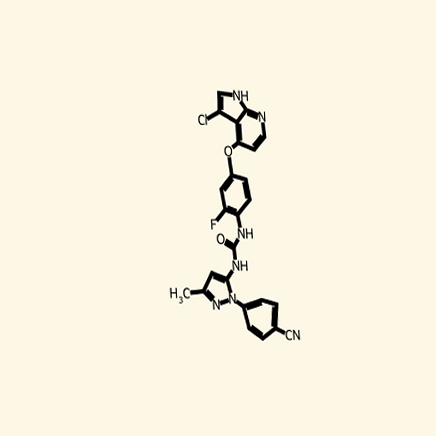 Cc1cc(NC(=O)Nc2ccc(Oc3ccnc4[nH]cc(Cl)c34)cc2F)n(-c2ccc(C#N)cc2)n1